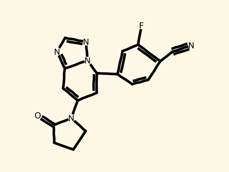 N#Cc1ccc(-c2cc(N3CCCC3=O)cc3ncnn23)cc1F